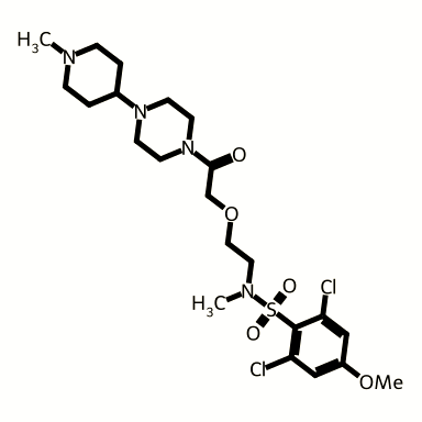 COc1cc(Cl)c(S(=O)(=O)N(C)CCOCC(=O)N2CCN(C3CCN(C)CC3)CC2)c(Cl)c1